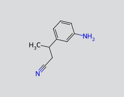 CC(CC#N)c1cccc(N)c1